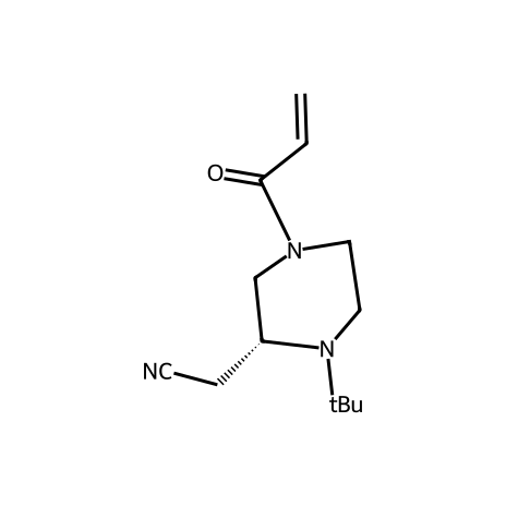 C=CC(=O)N1CCN(C(C)(C)C)[C@H](CC#N)C1